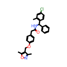 Cc1cc(Cl)ccc1C(NC(=O)Cc1ccc(OCc2c(C)noc2C)cc1)c1ccccc1